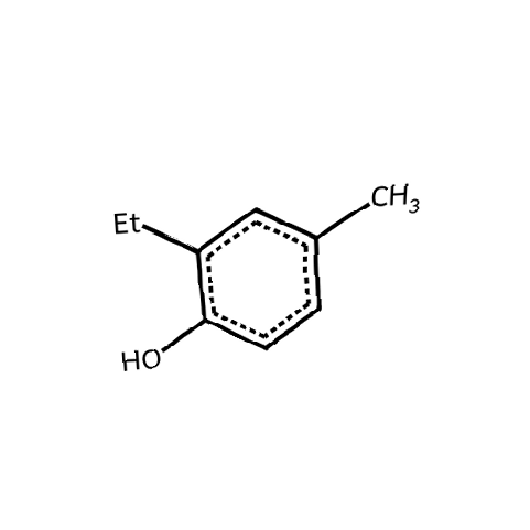 [CH2]Cc1cc(C)ccc1O